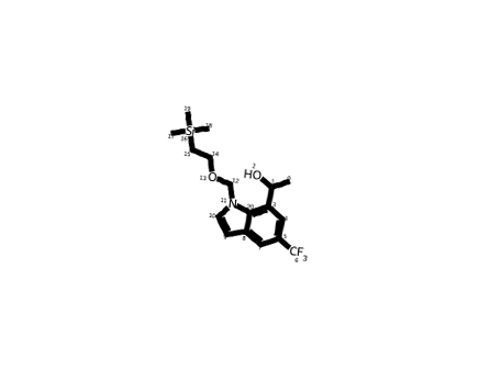 CC(O)c1cc(C(F)(F)F)cc2ccn(COCC[Si](C)(C)C)c12